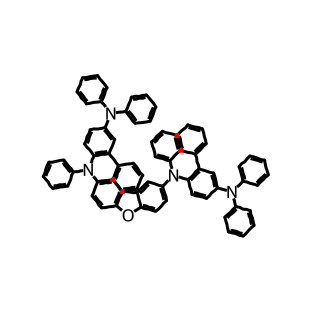 c1ccc(-c2cc(N(c3ccccc3)c3ccccc3)ccc2N(c2ccccc2)c2ccc3oc4ccc(N(c5ccccc5)c5ccc(N(c6ccccc6)c6ccccc6)cc5-c5ccccc5)cc4c3c2)cc1